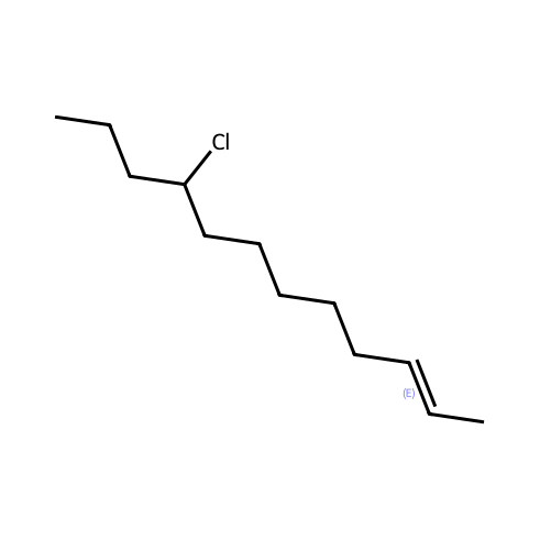 C/C=C/CCCCCC(Cl)CCC